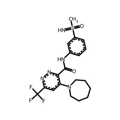 CS(=N)(=O)c1cccc(NC(=O)c2nnc(C(F)(F)F)cc2N2CCCCCC2)c1